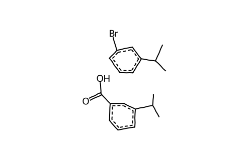 CC(C)c1cccc(Br)c1.CC(C)c1cccc(C(=O)O)c1